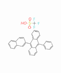 O=S(=O)(O)C(F)(F)F.c1ccc(-c2c3ccccc3c(-c3ccc4ccccc4c3)c3ccccc23)cc1